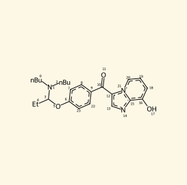 CCCCN(CCCC)C(CC)Oc1ccc(C(=O)c2cnc3c(O)cccn23)cc1